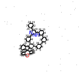 C1=CC(c2cccc(-c3cccc(-c4cccc(C5=CC(c6ccccc6)=NC(c6ccccc6)N5)c4)c3)c2)CC2=C1c1ccccc1C21c2ccccc2Oc2ccccc21